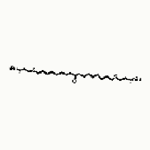 CCCCSCCSCCCCCCCCC(=O)CCCCCCCCSCCSCCCC